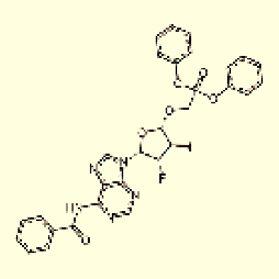 O=C(Nc1ncnc2c1ncn2[C@@H]1O[C@H](OCP(=O)(Oc2ccccc2)Oc2ccccc2)[C@@H](I)[C@@H]1F)c1ccccc1